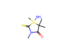 CN1C(=O)C(C)(C)S(C)(N)C1=S